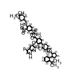 COc1nc2[nH]cc(F)c2cc1Oc1cc(N2CCC3(CC2)CN(C2CCC[C@H]2c2ccccc2C(C)C)C3)ccc1C(=O)NS(=O)(=O)c1ccc(NCC2CCC(C)(C)CC2)c([N+](=O)[O-])c1